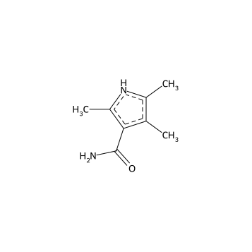 Cc1[nH]c(C)c(C(N)=O)c1C